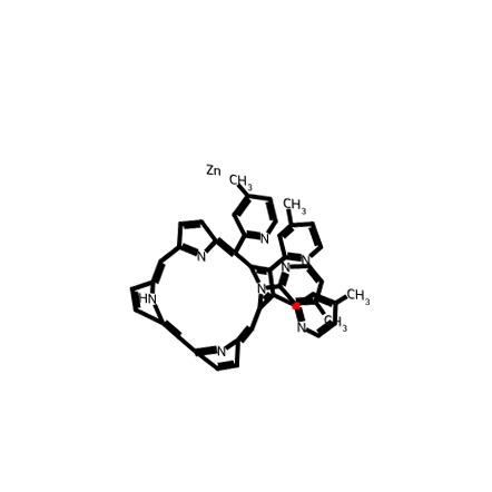 Cc1ccnc(-c2c(-c3cc(C)ccn3)c3c(-c4cc(C)ccn4)c4nc(cc5ccc(cc6nc(cc2n3-c2cc(C)ccn2)C=C6)[nH]5)C=C4)c1.[Zn]